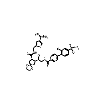 CS(=O)(=O)c1ccc(-c2ccc(C(=O)NCC(=O)N3CC4(C[C@H]3C(=O)NCc3cc(C(=N)N)cs3)OCCO4)cc2)c(F)c1